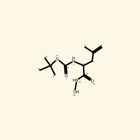 C=C(C)CC(NC(=O)OC(C)(C)C)C(=O)NO